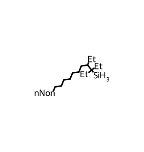 CCCCCCCCCCCCCCCCC(CC)C([SiH3])(CC)CC